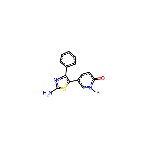 CC(C)n1cc(-c2sc(N)nc2-c2ccccc2)ccc1=O